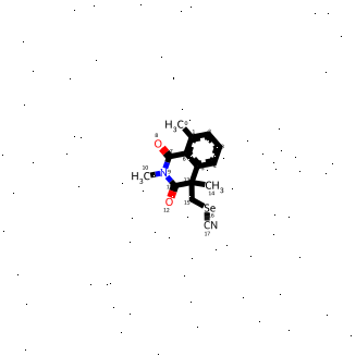 Cc1cccc2c1C(=O)N(C)C(=O)C2(C)C[Se]C#N